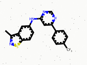 Cc1nsc2ccc(Nc3cc(-c4ccc(C(F)(F)F)cc4)ncn3)cc12